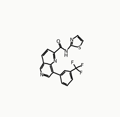 O=C(Nc1nccs1)c1ccc2cncc(-c3cccc(C(F)(F)F)c3)c2n1